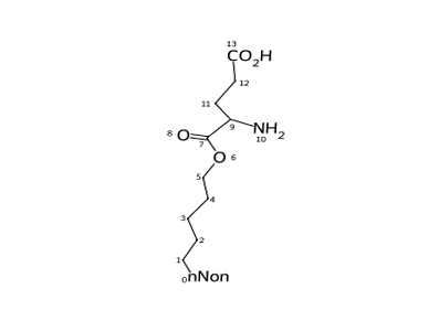 CCCCCCCCCCCCCCOC(=O)C(N)CCC(=O)O